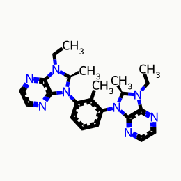 CCN1c2nccnc2N(c2cccc(N3c4nccnc4N(CC)[C@@H]3C)c2C)[C@@H]1C